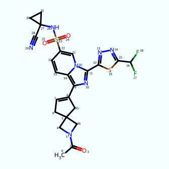 CC(=O)N1CC2(CC=C(c3nc(-c4nnc(C(F)F)s4)n4cc(S(=O)(=O)NC5(C#N)CC5)ccc34)C2)C1